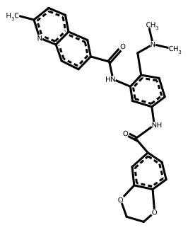 Cc1ccc2cc(C(=O)Nc3cc(NC(=O)c4ccc5c(c4)OCCO5)ccc3CN(C)C)ccc2n1